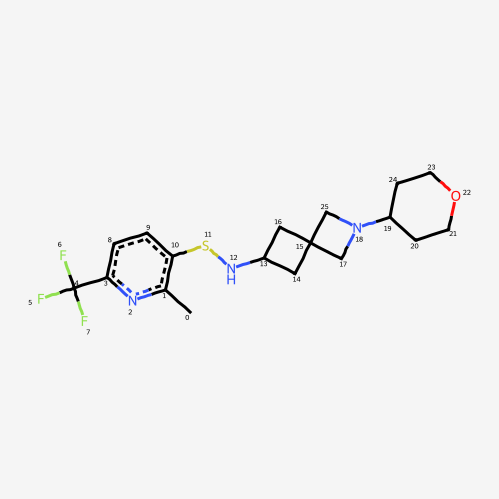 Cc1nc(C(F)(F)F)ccc1SNC1CC2(C1)CN(C1CCOCC1)C2